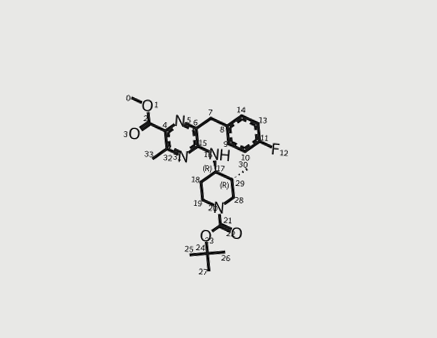 COC(=O)c1nc(Cc2ccc(F)cc2)c(N[C@@H]2CCN(C(=O)OC(C)(C)C)C[C@H]2C)nc1C